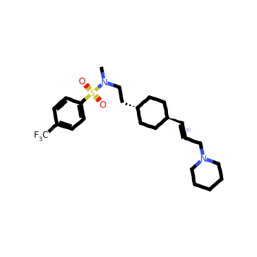 CN(CC[C@H]1CC[C@H](/C=C/CN2CCCCC2)CC1)S(=O)(=O)c1ccc(C(F)(F)F)cc1